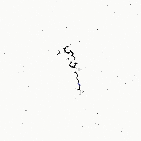 CC(C)Oc1c(F)cnc2cc(Cn3cccc(NC(=O)CCC/C=C/C(=O)N(C)C)c3=O)n(SF)c12